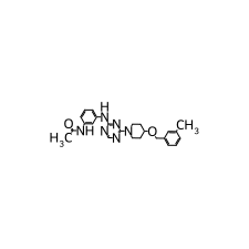 CC(=O)Nc1cccc(Nc2ncnc(N3CCC(OCc4cccc(C)c4)CC3)n2)c1